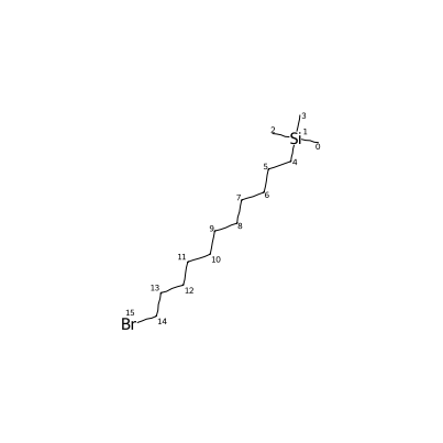 C[Si](C)(C)CCCCCCCCCCCBr